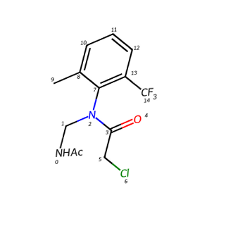 CC(=O)NCN(C(=O)CCl)c1c(C)cccc1C(F)(F)F